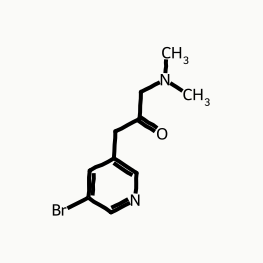 CN(C)CC(=O)Cc1cncc(Br)c1